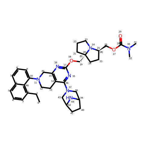 CCc1cccc2cccc(N3CCc4c(nc(OC[C@]56CCCN5[C@@H](COC(=O)N(C)C)CC6)nc4N4CC5CCC(C4)N5)C3)c12